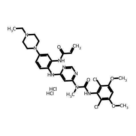 C=CC(=O)Nc1cc(N2CCN(CC)CC2)ccc1Nc1cc(N(C)C(=O)Nc2c(Cl)c(OC)cc(OC)c2Cl)ncn1.Cl.Cl